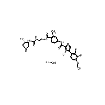 Cc1cc(NC(=O)c2ncc(-c3ccc(OCC#N)c(F)c3F)n2C)ccc1C(=O)NCCNC(=O)N[C@H]1CNC[C@@H]1O.O=CO